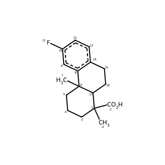 CC1(C(=O)O)CCCC2(C)c3cc(F)ccc3CCC12